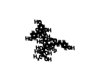 C[C@H](CO)[C@@H](O)C(O)C(O)[C@@H](C)O[C@@H](C(O)C(O)[C@@H](C)Oc1c(-c2ccc(O)cc2)oc2cc(O)cc(O)c2c1=O)[C@H](C)CCC(=O)/C=C/c1ccc(O)cc1